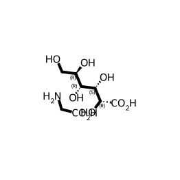 NCC(=O)O.O=C(O)[C@H](O)[C@@H](O)[C@H](O)[C@H](O)CO